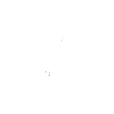 CCCC/C=C/CCCCCCCCC[N]CCCC